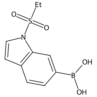 CCS(=O)(=O)n1ccc2ccc(B(O)O)cc21